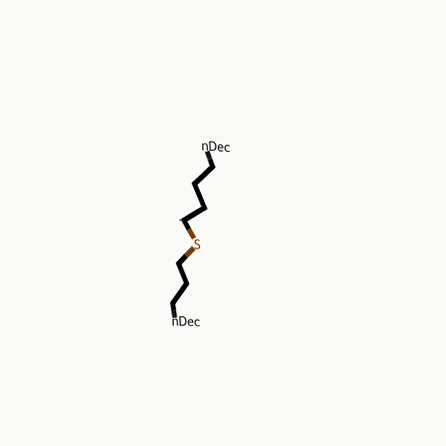 CCCCCCCCCCCCC[CH]SCCCCCCCCCCCCC